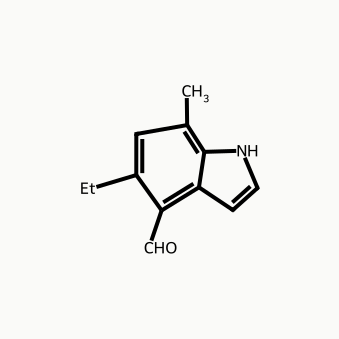 CCc1cc(C)c2[nH]ccc2c1C=O